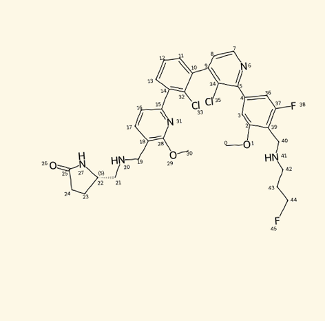 COc1cc(-c2nccc(-c3cccc(-c4ccc(CNC[C@@H]5CCC(=O)N5)c(OC)n4)c3Cl)c2Cl)cc(F)c1CNCCCF